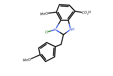 COc1ccc(CC2Nc3c(C(=O)O)ccc(OC)c3N2Cl)cc1